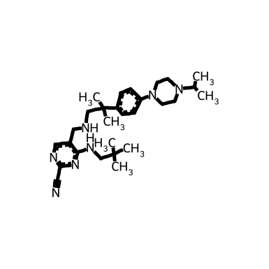 CC(C)N1CCN(c2ccc(C(C)(C)CNCc3cnc(C#N)nc3NCC(C)(C)C)cc2)CC1